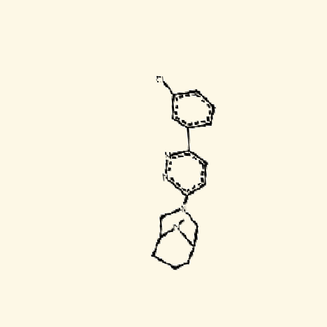 CN1C2CCCC1CN(c1ccc(-c3cccc(Cl)c3)nn1)C2